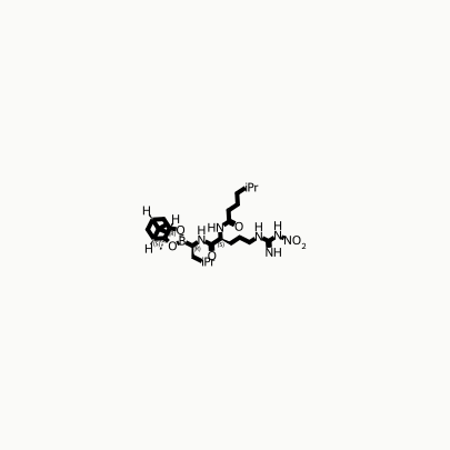 CC(C)CCCC(=O)N[C@@H](CCCNC(=N)N[N+](=O)[O-])C(=O)N[C@@H](CC(C)C)B1O[C@@H]2C[C@@H]3C[C@@H](C3(C)C)[C@]2(C)O1